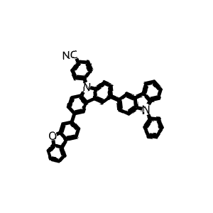 N#Cc1ccc(-n2c3ccc(-c4ccc5c(c4)oc4ccccc45)cc3c3cc(-c4ccc5c(c4)c4ccccc4n5-c4ccccc4)ccc32)cc1